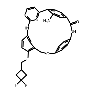 Nc1cc2ccc1-c1ccnc(n1)Nc1ccc(OCC3CC(F)(F)C3)c(c1)COc1ccc(cc1)NC2=O